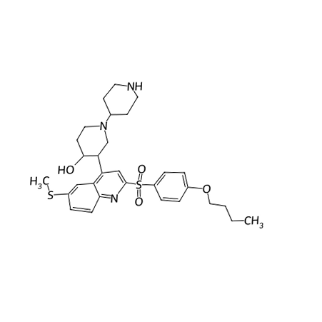 CCCCOc1ccc(S(=O)(=O)c2cc(C3CN(C4CCNCC4)CCC3O)c3cc(SC)ccc3n2)cc1